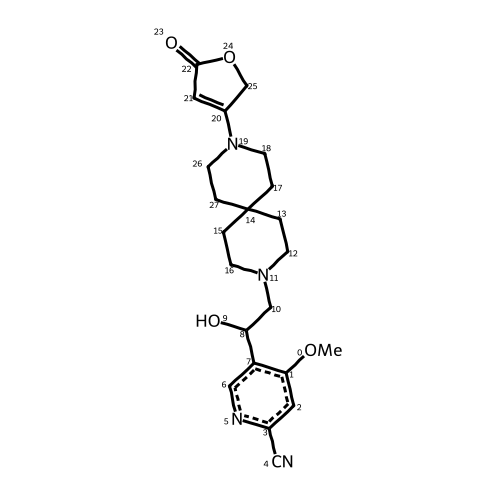 COc1cc(C#N)ncc1C(O)CN1CCC2(CC1)CCN(C1=CC(=O)OC1)CC2